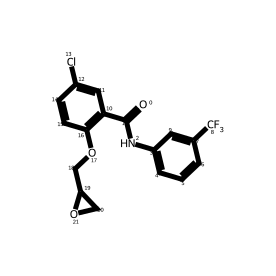 O=C(Nc1cccc(C(F)(F)F)c1)c1cc(Cl)ccc1OCC1CO1